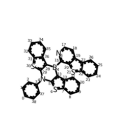 c1ccc(N2c3sc4ccccc4c3B(c3nccc4c3sc3ccccc34)c3c2sc2ccccc32)cc1